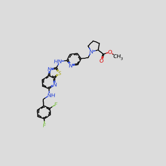 COC(=O)C1CCCN1Cc1ccc(Nc2nc3ccc(NCc4ccc(F)cc4F)nc3s2)nc1